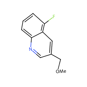 COCc1cnc2cccc(F)c2c1